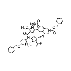 Cc1c(C(=O)N(c2ccc(OCc3ccccc3)cc2)c2cc(C#N)n(C(F)F)c2C)cc(-c2cc3c(cc2C(=O)O)CN(C(=O)OCc2ccccc2)CC3)n1C